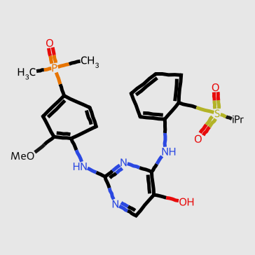 COc1cc(P(C)(C)=O)ccc1Nc1ncc(O)c(Nc2ccccc2S(=O)(=O)C(C)C)n1